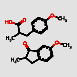 COc1ccc(CC(C)C(=O)O)cc1.COc1ccc2c(c1)C(=O)C(C)C2